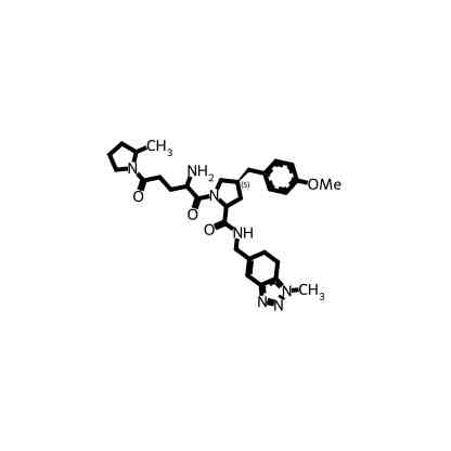 COc1ccc(C[C@H]2CC(C(=O)NCC3=Cc4nnn(C)c4CC3)N(C(=O)C(N)CCC(=O)N3CCCC3C)C2)cc1